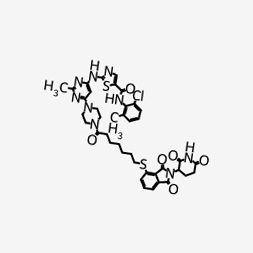 Cc1nc(Nc2ncc(C(=O)Nc3c(C)cccc3Cl)s2)cc(N2CCN(C(=O)CCCCCCSc3cccc4c3C(=O)N(C3CCC(=O)NC3=O)C4=O)CC2)n1